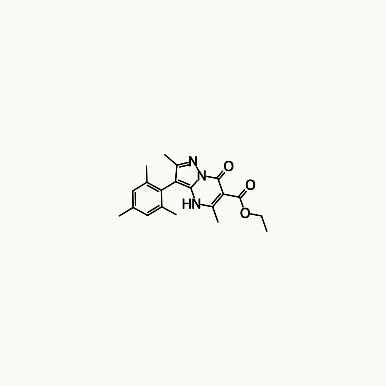 CCOC(=O)c1c(C)[nH]c2c(-c3c(C)cc(C)cc3C)c(C)nn2c1=O